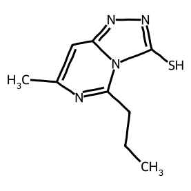 CCCc1nc(C)cc2nnc(S)n12